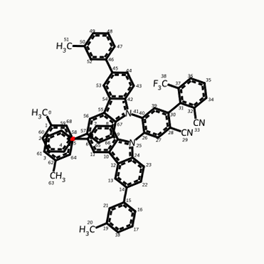 Cc1cccc(-c2ccc3c(c2)c2cc(-c4cccc(C)c4)ccc2n3-c2cc(C#N)c(-c3c(C#N)cccc3C(F)(F)F)cc2-n2c3ccc(-c4cccc(C)c4)cc3c3cc(-c4cccc(C)c4)ccc32)c1